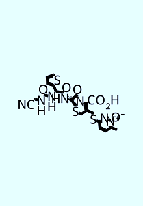 Cc1ccc(SCC2=C(C(=O)O)N3C(=O)[C@H](NC(=O)C(NC(=O)NCC#N)c4cccs4)C3SC2)n[n+]1[O-]